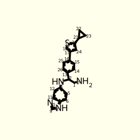 NCC(Nc1ccc2[nH]cnc2c1)c1ccc(-c2csc(C3CC3)c2)cc1